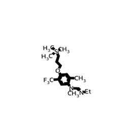 CCN=CN(C)c1cc(C(F)(F)F)c(OCCC[Si](C)(C)C)cc1C